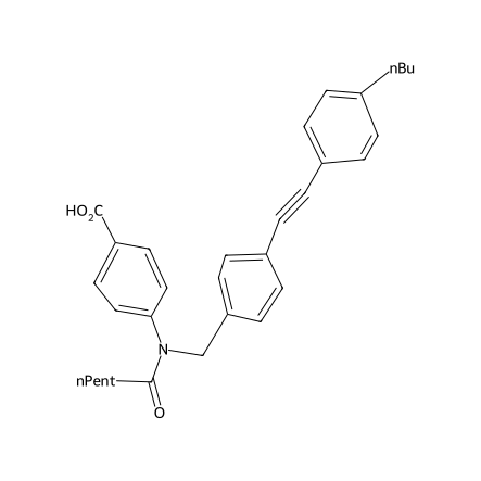 CCCCCC(=O)N(Cc1ccc(C#Cc2ccc(CCCC)cc2)cc1)c1ccc(C(=O)O)cc1